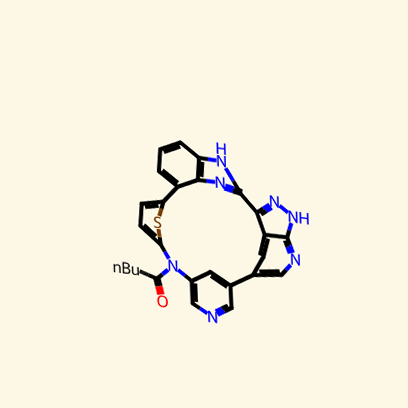 CCCCC(=O)n1c2cncc(c2)c2cnc3[nH]nc(c4nc5c(cccc5c5ccc1s5)[nH]4)c3c2